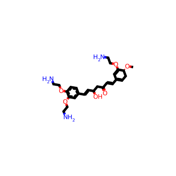 CO[C@@H]1CC=C(/C=C/C(=O)CC(O)/C=C/c2ccc(OCCN)c(OCCN)c2)C=C1OCCN